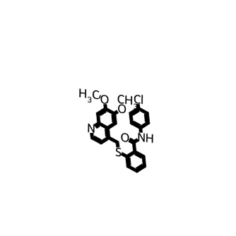 COc1cc2nccc(CSc3ccccc3C(=O)Nc3ccc(Cl)cc3)c2cc1OC